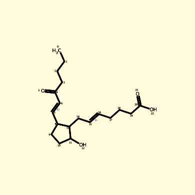 CCCCC(=O)/C=C/C1CCC(O)C1C/C=C/CCCC(=O)O